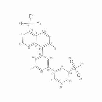 Cc1cnc2c(C(F)(F)F)cccc2c1-c1cccc(-c2cncc(S(C)(=O)=O)c2)c1